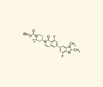 Cc1nc2c(F)cc(-c3cc(F)c4c(=O)n(C5CCN(C(=O)OC(C)(C)C)C6(CC6)C5)ccc4c3)cc2n1C